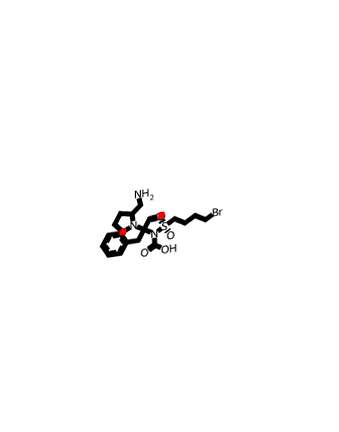 NCC1CCCN1C(C=O)(Cc1ccccc1)N(C(=O)O)S(=O)(=O)CCCCBr